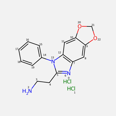 Cl.Cl.NCCc1nc2cc3c(cc2n1-c1ccccc1)OCO3